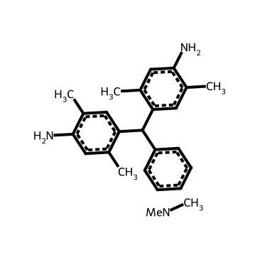 CNC.Cc1cc(C(c2ccccc2)c2cc(C)c(N)cc2C)c(C)cc1N